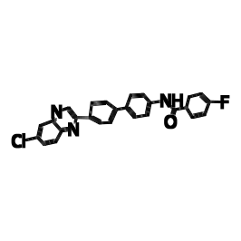 O=C(Nc1ccc(-c2ccc(-c3cnc4cc(Cl)ccc4n3)cc2)cc1)C1C=CC(F)=CC1